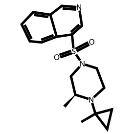 C[C@H]1CN(S(=O)(=O)c2cncc3ccccc23)CCN1C1(C)CC1